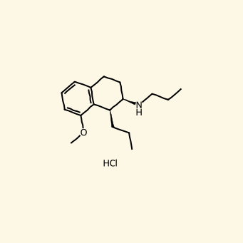 CCCN[C@@H]1CCc2cccc(OC)c2[C@@H]1CCC.Cl